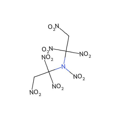 O=[N+]([O-])CC(N([N+](=O)[O-])C(C[N+](=O)[O-])([N+](=O)[O-])[N+](=O)[O-])([N+](=O)[O-])[N+](=O)[O-]